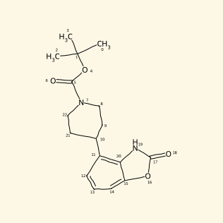 CC(C)(C)OC(=O)N1CCC(c2cccc3oc(=O)[nH]c23)CC1